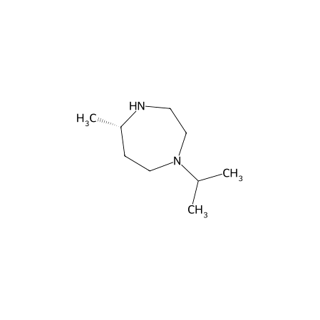 CC(C)N1CCN[C@@H](C)CC1